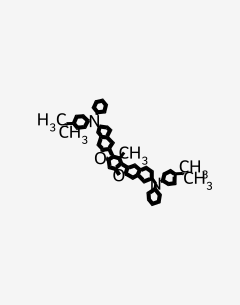 Cc1c2c(cc3oc4cc5cc(N(c6ccccc6)c6ccc(C(C)C)cc6)ccc5cc4c13)oc1cc3cc(N(c4ccccc4)c4ccc(C(C)C)cc4)ccc3cc12